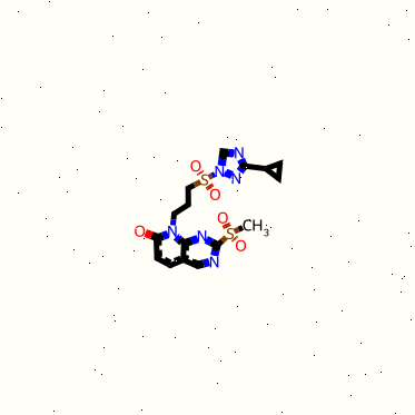 CS(=O)(=O)c1ncc2ccc(=O)n(CCCS(=O)(=O)n3cnc(C4CC4)n3)c2n1